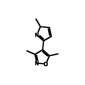 Cc1noc(C)c1C1=NC(C)C=C1